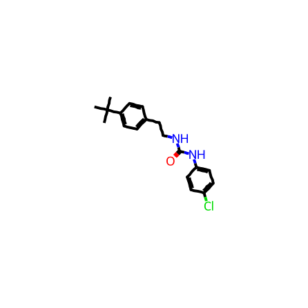 CC(C)(C)c1ccc(CCNC(=O)Nc2ccc(Cl)cc2)cc1